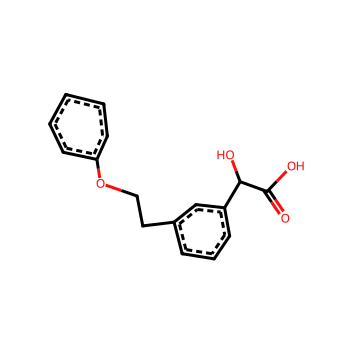 O=C(O)C(O)c1cccc(CCOc2ccccc2)c1